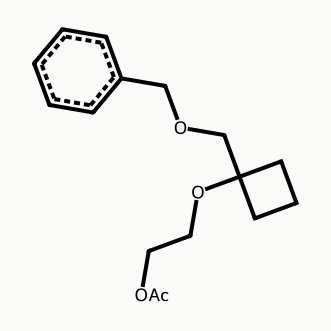 CC(=O)OCCOC1(COCc2ccccc2)CCC1